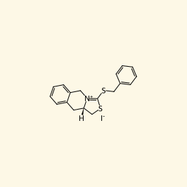 [I-].c1ccc(CSC2=[N+]3Cc4ccccc4C[C@H]3CS2)cc1